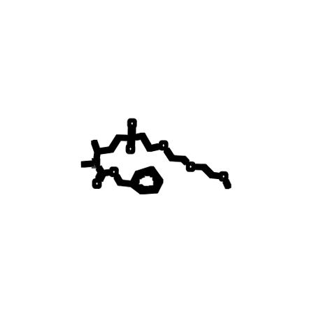 COCCOCCOCCS(=O)(=O)CCC(C)N(C)C(=O)OCc1ccccc1